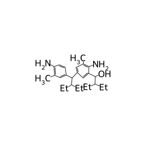 CCC(CC)C(O)c1cc(C(c2ccc(N)c(C)c2)C(CC)CC)cc(C)c1N